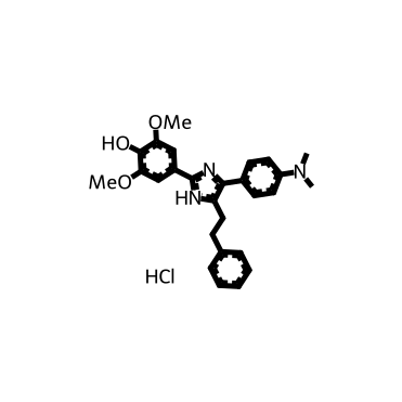 COc1cc(-c2nc(-c3ccc(N(C)C)cc3)c(CCc3ccccc3)[nH]2)cc(OC)c1O.Cl